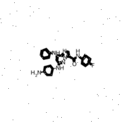 N[C@H]1CC[C@H](Nc2cc(Nc3ccccc3)c3ncc(C(=O)Nc4ccc(F)cc4)n3n2)CC1